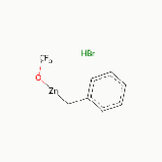 Br.FC(F)(F)[O][Zn][CH2]c1ccccc1